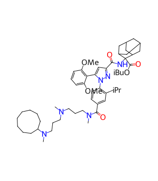 COc1cccc(OC)c1-c1cc(C(=O)NC2(C(=O)OCC(C)C)C3CC4CC(C3)CC2C4)nn1-c1ccc(C(=O)N(C)CCCN(C)CCCN(C)C2CCCCCCCC2)cc1C(C)C